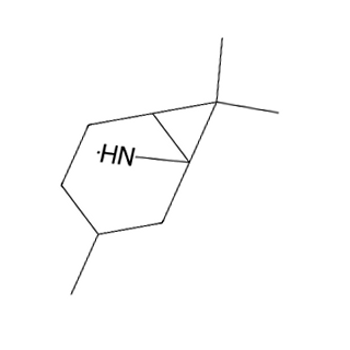 CC1CCC2C(C)(C)C2([NH])C1